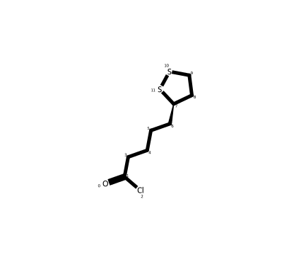 O=C(Cl)CCCC[C@@H]1CCSS1